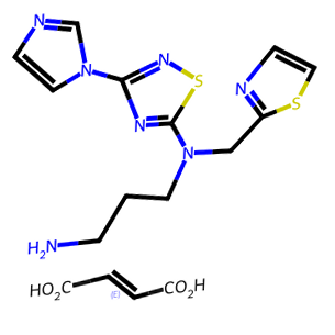 NCCCN(Cc1nccs1)c1nc(-n2ccnc2)ns1.O=C(O)/C=C/C(=O)O